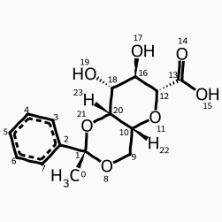 C[C@]1(c2ccccc2)OC[C@H]2O[C@@H](C(=O)O)[C@H](O)[C@@H](O)[C@H]2O1